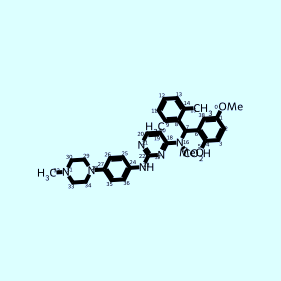 COc1ccc(OC)c(C(c2c(C)cccc2C)N(C(=O)O)c2ccnc(Nc3ccc(N4CCN(C)CC4)cc3)n2)c1